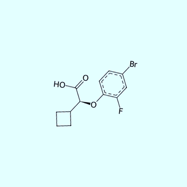 O=C(O)[C@@H](Oc1ccc(Br)cc1F)C1CCC1